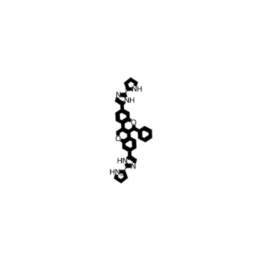 c1ccc(C2Oc3cc(-c4cnc([C@@H]5CCCN5)[nH]4)ccc3C3=C2c2ccc(-c4cnc([C@@H]5CCCN5)[nH]4)cc2OC3)cc1